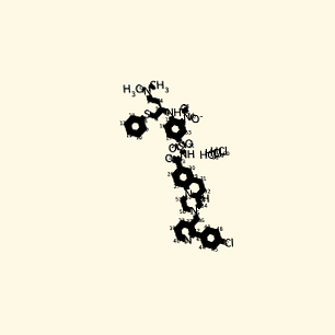 CN(C)CC[C@H](CSc1ccccc1)Nc1ccc(S(=O)(=O)NC(=O)c2ccc3c(c2)CC[C@@H]2CN(Cc4cccnc4-c4ccc(Cl)cc4)CCN32)cc1[N+](=O)[O-].Cl.Cl.Cl